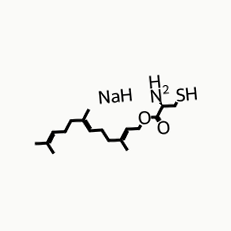 CC(C)=CCCC(C)=CCCC(C)=CCOC(=O)[C@@H](N)CS.[NaH]